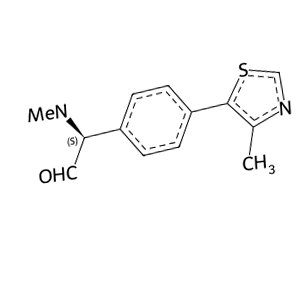 CN[C@H](C=O)c1ccc(-c2scnc2C)cc1